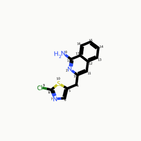 Nc1nc(Cc2cnc(Cl)s2)cc2ccccc12